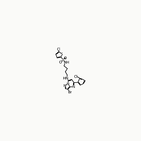 O=S(=O)(NCCCCNc1cc(-c2ccccc2Cl)nc2c(Br)cnn12)c1ccc(Cl)s1